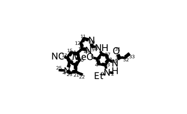 [CH2]CN(C)c1cc(OC)c(Nc2nccc(-c3cc(C#N)c4c(c3)c(C)cn4C)n2)cc1NC(=O)C=C